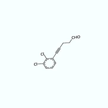 O=CCCC#Cc1cccc(Cl)c1Cl